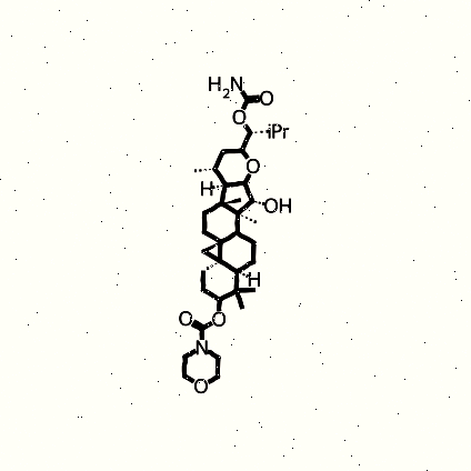 CC(C)[C@@H](OC(N)=O)C1C[C@@H](C)[C@H]2C(O1)[C@H](O)[C@@]1(C)C3CC[C@H]4C(C)(C)C(OC(=O)N5CCOCC5)CC[C@@]45C[C@@]35CC[C@]21C